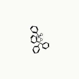 O=S(=O)(OS(c1ccccc1)(c1ccccc1)c1ccccc1)c1ccccc1